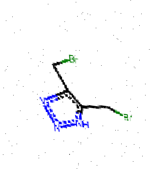 BrCc1nn[nH]c1CBr